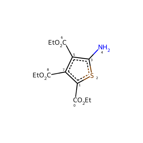 CCOC(=O)c1sc(N)c(C(=O)OCC)c1C(=O)OCC